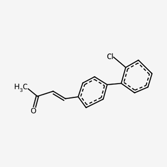 CC(=O)C=Cc1ccc(-c2ccccc2Cl)cc1